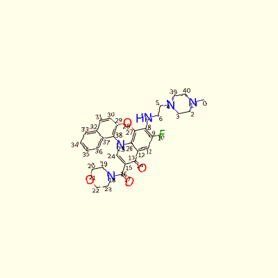 CN1CCN(CCNc2c(F)cc3c(=O)c(C(=O)N4CCOCC4)cn4c3c2Oc2ccc3ccccc3c2-4)CC1